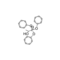 CC(O)[PH](Oc1ccccc1)(Oc1ccccc1)Oc1ccccc1